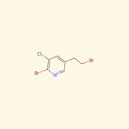 Clc1cc(CCBr)cnc1Br